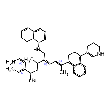 C/C=C(\C=C/N)C(CCCC)CC(C)/C(=C/C=C(\C)C1=c2ccccc2=C(C2=CNCCC2)CC1)CNC1C=CC=C2C=CCCC21